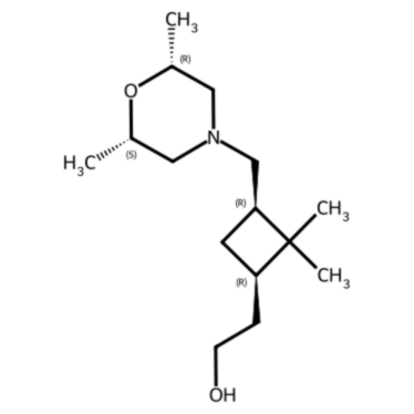 C[C@@H]1CN(C[C@@H]2C[C@H](CCO)C2(C)C)C[C@H](C)O1